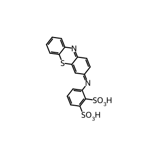 O=S(=O)(O)c1cccc(N=c2ccc3nc4ccccc4sc-3c2)c1S(=O)(=O)O